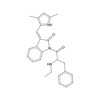 CCNC(Cc1ccccc1)C(=O)N1C(=O)/C(=C\c2[nH]c(C)cc2C)c2ccccc21